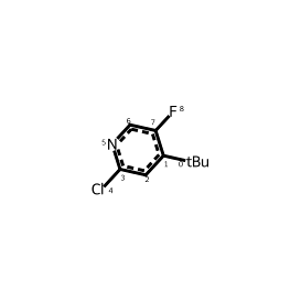 CC(C)(C)c1cc(Cl)ncc1F